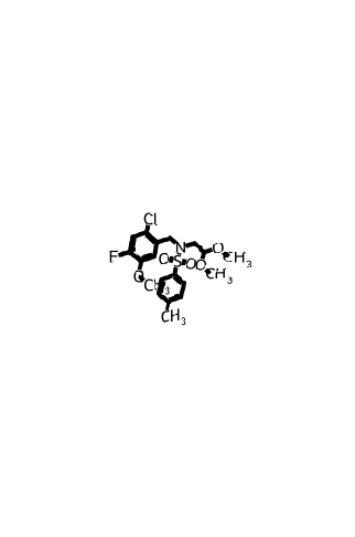 COc1cc(CN(CC(OC)OC)S(=O)(=O)c2ccc(C)cc2)c(Cl)cc1F